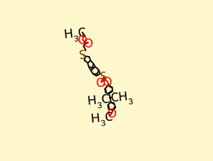 CCOC(=O)CCSC1CC2C(C1)C1CC2C2C3CC(SC(=O)Oc4ccc(C(C)(C)c5ccc(OC)cc5)cc4)C(C3)C12